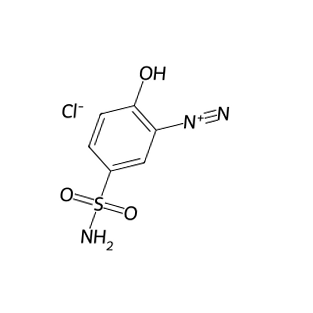 N#[N+]c1cc(S(N)(=O)=O)ccc1O.[Cl-]